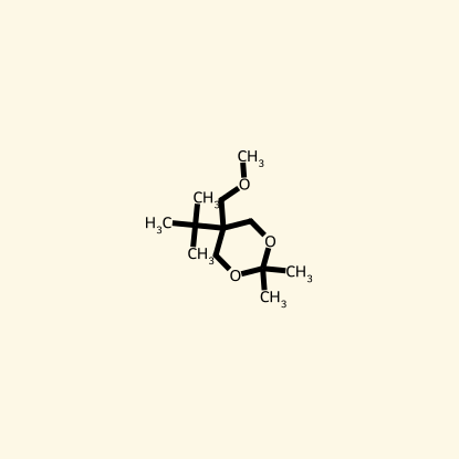 COCC1(C(C)(C)C)COC(C)(C)OC1